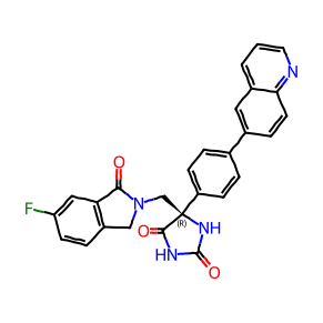 O=C1NC(=O)[C@](CN2Cc3ccc(F)cc3C2=O)(c2ccc(-c3ccc4ncccc4c3)cc2)N1